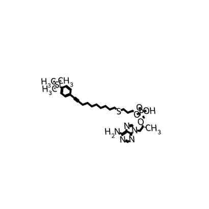 C[C@H](Cn1cnc2c(N)ncnc21)OCP(=O)(O)OCCCSCCCCCCCCC#Cc1ccc([Si](C)(C)C)cc1